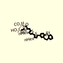 [C-]#[N+]/C(C(=O)O)=c1\s/c(=C\c2sc(-c3sc(-c4ccc5c(c4)CCc4ccccc4N5CC)cc3CCCCCC)cc2CCCCCC)c(=O)n1CC(=O)O